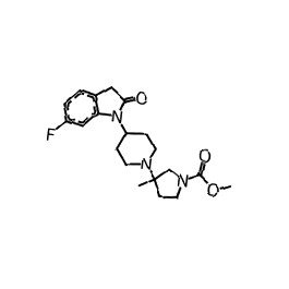 COC(=O)N1CCC(C)(N2CCC(N3C(=O)Cc4ccc(F)cc43)CC2)C1